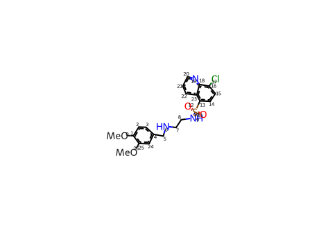 COc1ccc(CNCCNS(=O)(=O)c2ccc(Cl)c3ncccc23)cc1OC